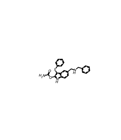 NC(=O)Oc1[nH]c2ccc(CNCc3ccccc3)cc2c1Sc1ccccc1